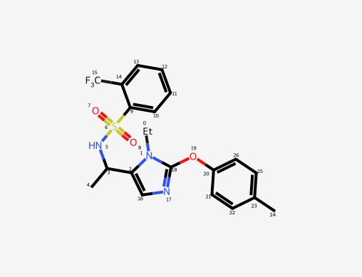 CCn1c(C(C)NS(=O)(=O)c2ccccc2C(F)(F)F)cnc1Oc1ccc(C)cc1